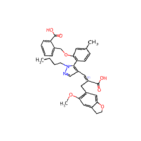 CCCCn1ncc(/C=C(\Cc2cc3c(cc2OC)CCO3)C(=O)O)c1-c1ccc(C)cc1OCc1ccccc1C(=O)O